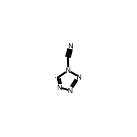 N#Cn1[c]nnn1